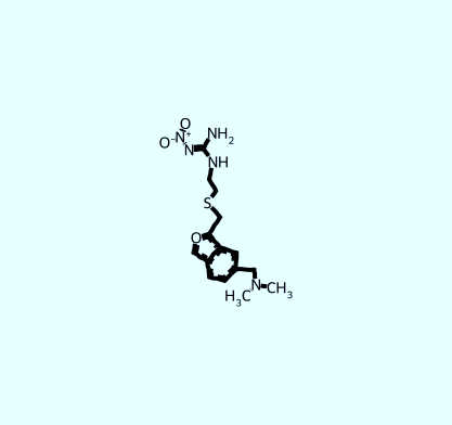 CN(C)Cc1ccc2coc(CSCCNC(N)=N[N+](=O)[O-])c2c1